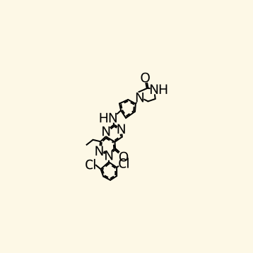 CCc1nn(-c2c(Cl)cccc2Cl)c(=O)c2cnc(Nc3ccc(N4CCNC(=O)C4)cc3)nc12